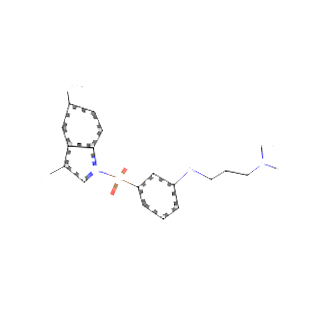 COc1ccc2c(c1)c(C)cn2S(=O)(=O)c1cccc(NCCCN(C)C)c1